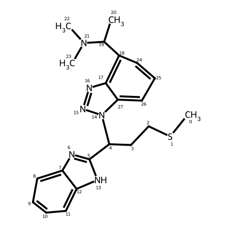 CSCCC(c1nc2ccccc2[nH]1)n1nnc2c(C(C)N(C)C)cccc21